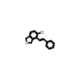 Clc1ccc2c(c1C=Cc1ccccc1)COC2